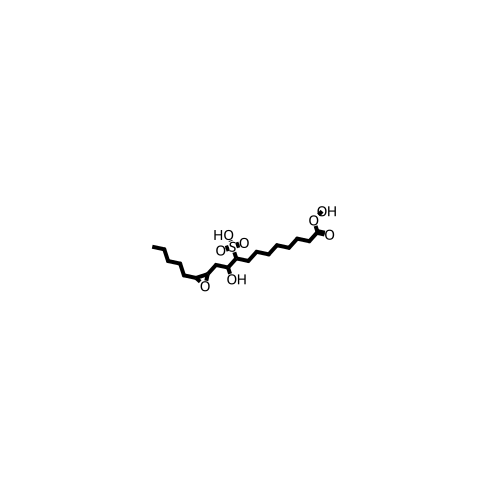 CCCCCC1OC1CC(O)C(CCCCCCCC(=O)OO)S(=O)(=O)O